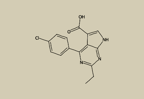 CCc1nc(-c2ccc(Cl)cc2)c2c(C(=O)O)c[nH]c2n1